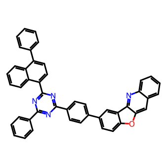 c1ccc(-c2nc(-c3ccc(-c4ccc5oc6cc7ccccc7nc6c5c4)cc3)nc(-c3ccc(-c4ccccc4)c4ccccc34)n2)cc1